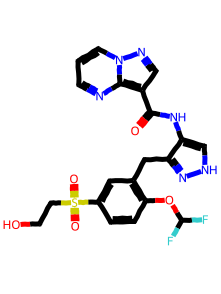 O=C(Nc1c[nH]nc1Cc1cc(S(=O)(=O)CCO)ccc1OC(F)F)c1cnn2cccnc12